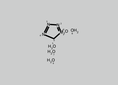 C1N=NN=N1.O.O.O.O.O